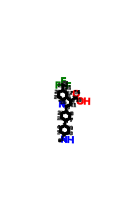 CNc1ccc(-c2ccc(-c3cc(C(=O)O)c4cc(C(F)(F)F)ccc4n3)cc2)cc1